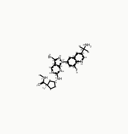 CNC(=O)[C@]1(C)CC[C@@H](Nc2ncc3c(Br)nn(-c4cc(F)c5ncc(C(C)(C)N)cc5c4)c3n2)C1